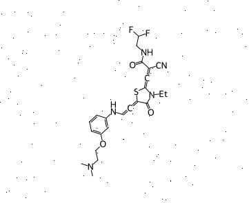 CCn1c(=C=C(C#N)C(=O)NCC(F)F)sc(=C=CNc2cccc(OCCN(C)C)c2)c1=O